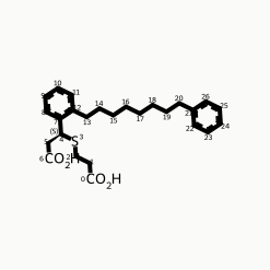 O=C(O)CCS[C@@H](CC(=O)O)c1ccccc1CCCCCCCCc1ccccc1